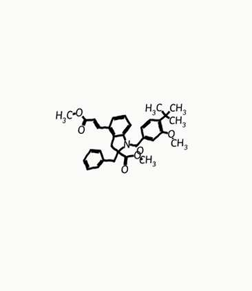 COC(=O)C=Cc1cccc2c1CC(Cc1ccccc1)(C(=O)OC)N2C(=O)c1ccc(C(C)(C)C)c(OC)c1